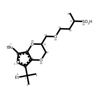 CCC(C)(C)c1sc(C(C)(C)C)c2c1OCC(COCCC(C)S(=O)(=O)O)O2